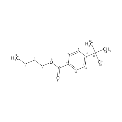 CCCCOC(=O)c1ccc(C(C)(C)C)cc1